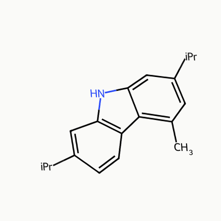 Cc1cc(C(C)C)cc2[nH]c3cc(C(C)C)ccc3c12